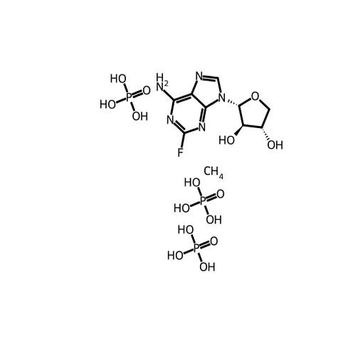 C.Nc1nc(F)nc2c1ncn2[C@@H]1OC[C@H](O)[C@H]1O.O=P(O)(O)O.O=P(O)(O)O.O=P(O)(O)O